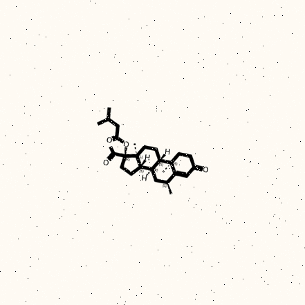 CC(=O)[C@@]1(OC(=O)CC(C)C)CC[C@H]2[C@@H]3C[C@H](C)C4=CC(=O)CC[C@]4(C)[C@H]3CC[C@@]21C